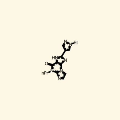 CCCn1c(=O)c2[nH]c(-c3cnn(CC)c3)nc2n2ccnc12